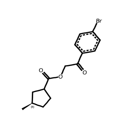 C[C@@H]1CCC(C(=O)OCC(=O)c2ccc(Br)cc2)C1